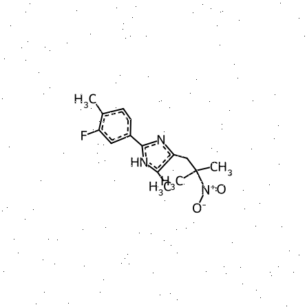 Cc1ccc(-c2nc(CC(C)(C)[N+](=O)[O-])c(C)[nH]2)cc1F